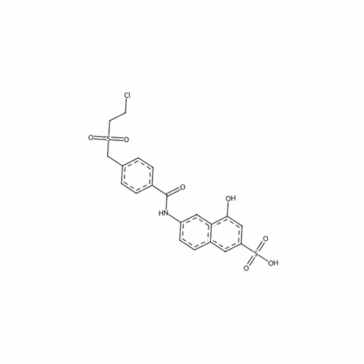 O=C(Nc1ccc2cc(S(=O)(=O)O)cc(O)c2c1)c1ccc(CS(=O)(=O)CCCl)cc1